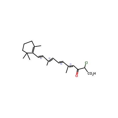 CC1=C(/C=C/C(C)=C/C=C/C(C)=C/C(=O)C(Cl)C(=O)O)C(C)(C)CCC1